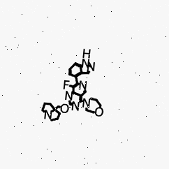 Fc1c(-c2cccc3[nH]ncc23)ncc2c(N3CCCOCC3)nc(OCC34CCCN3CCC4)nc12